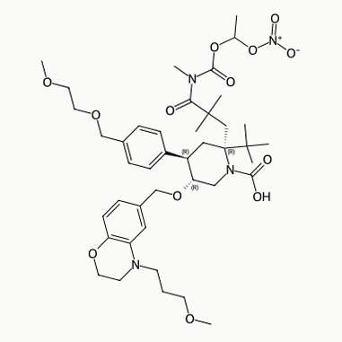 COCCCN1CCOc2ccc(CO[C@H]3CN(C(=O)O)[C@](CC(C)(C)C(=O)N(C)C(=O)OC(C)O[N+](=O)[O-])(C(C)(C)C)C[C@@H]3c3ccc(COCCOC)cc3)cc21